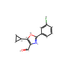 O=Cc1nc(-c2cccc(F)c2)oc1C1CC1